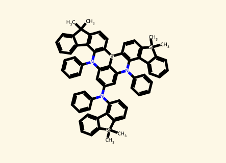 CC1(C)c2ccccc2-c2c1ccc1c2N(c2ccccc2)c2cc(N(c3ccccc3)c3cccc4c3-c3ccccc3[Si]4(C)C)cc3c2B1c1ccc2c(c1N3c1ccccc1)-c1ccccc1[Si]2(C)C